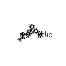 O=CC1NC(c2cccc(N(CC34CCC(c5nc(C6CC6)no5)(CC3)CC4)C(=O)C3CCCCC3)c2)=CS1